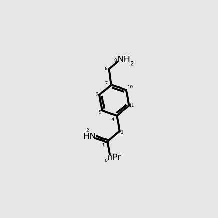 CCCC(=N)Cc1ccc(CN)cc1